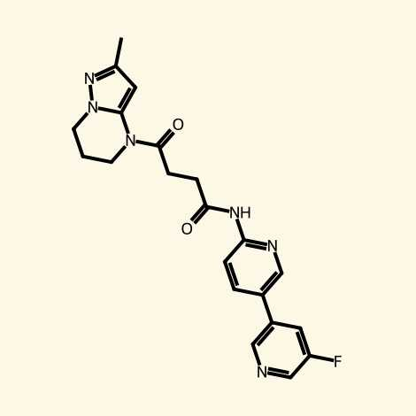 Cc1cc2n(n1)CCCN2C(=O)CCC(=O)Nc1ccc(-c2cncc(F)c2)cn1